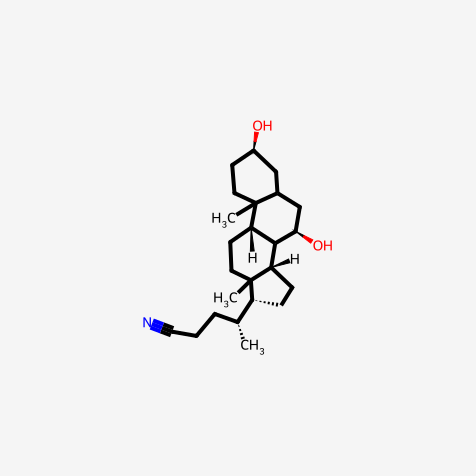 C[C@H](CCC#N)[C@H]1CC[C@H]2C3[C@H](O)CC4C[C@H](O)CCC4(C)[C@H]3CCC12C